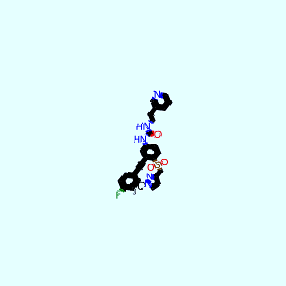 Cn1ccc(CS(=O)(=O)c2ccc(NC(=O)NCCc3cccnc3)cc2C#Cc2ccc(F)cc2)n1